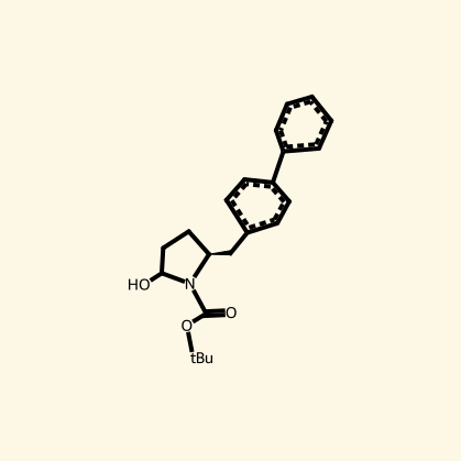 CC(C)(C)OC(=O)N1C(O)CC[C@H]1Cc1ccc(-c2ccccc2)cc1